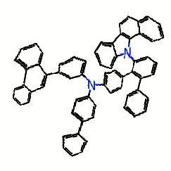 c1ccc(-c2ccc(N(c3ccc(-c4c(-c5ccccc5)cccc4-n4c5ccccc5c5ccc6ccccc6c54)cc3)c3cccc(-c4cc5ccccc5c5ccccc45)c3)cc2)cc1